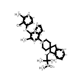 Cc1nc(N2CCC3(CC2)Cc2ncccc2[C@H]3CC(C)(C)[S+](N)[O-])c2ccnn2c1Sc1ccnc(N)c1Cl